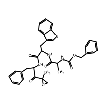 CC(NC(=O)OCc1ccccc1)C(=O)NC(Cc1csc2ccccc12)C(=O)NC(Cc1ccccc1)C(=O)C1(C)CO1